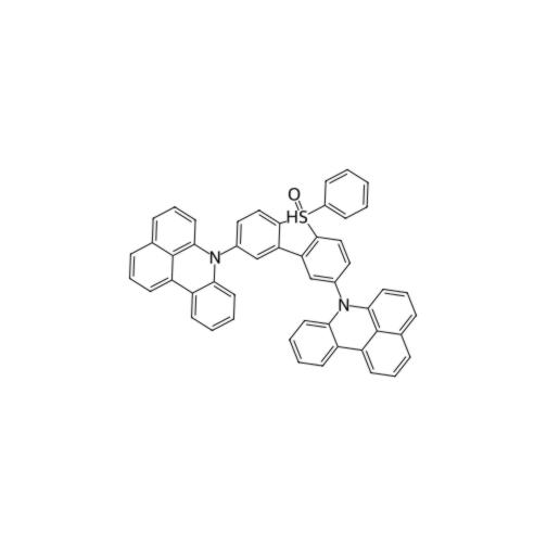 O=[SH]1(c2ccccc2)c2ccc(N3c4ccccc4-c4cccc5cccc3c45)cc2-c2cc(N3c4ccccc4-c4cccc5cccc3c45)ccc21